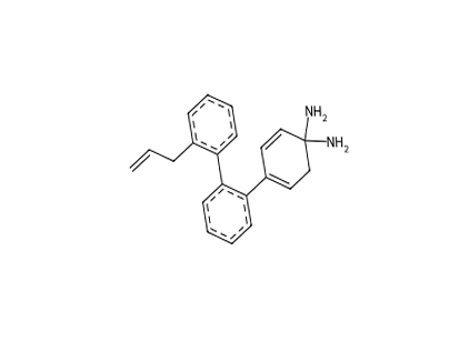 C=CCc1ccccc1-c1ccccc1C1=CCC(N)(N)C=C1